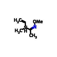 C=C[SiH](C)C(C)=NOC